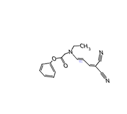 CCN(/C=C/C=C(C#N)C#N)CC(=O)Oc1ccccc1